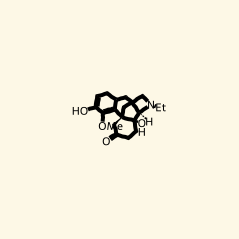 CCN1CC23CC4CC=C(O)C(OC)=C4[C@]4(CC(=O)CC[C@@]4(O)[C@H]12)C3